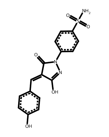 NS(=O)(=O)c1ccc(N2N=C(O)/C(=C\c3ccc(O)cc3)C2=O)cc1